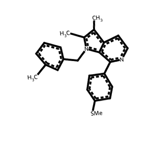 CSc1ccc(-c2nccc3c(C)c(C)n(Cc4cccc(C)c4)c23)cc1